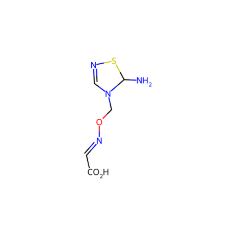 NC1SN=CN1CON=CC(=O)O